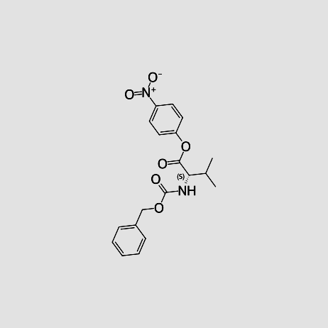 CC(C)[C@H](NC(=O)OCc1ccccc1)C(=O)Oc1ccc([N+](=O)[O-])cc1